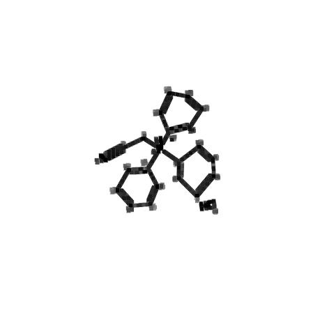 Cl.N#CC[PH](c1ccccc1)(c1ccccc1)c1ccccc1